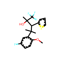 COc1ccc(F)cc1C(C)(C)C(c1cccs1)C(C)(O)C(F)(F)F